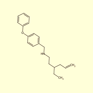 C=CCC(CC)CCNCc1ccc(Oc2ccccc2)cc1